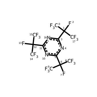 FC(F)(F)C(F)(c1nc(C(F)(C(F)(F)F)C(F)(F)F)nc(C(F)(C(F)(F)F)C(F)(F)F)n1)C(F)(F)F